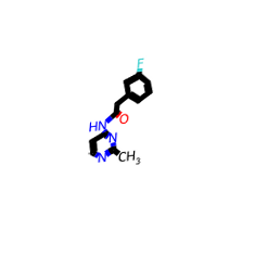 Cc1n[c]cc(NC(=O)Cc2cccc(F)c2)n1